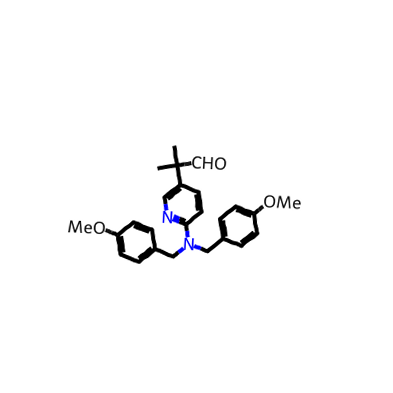 COc1ccc(CN(Cc2ccc(OC)cc2)c2ccc(C(C)(C)C=O)cn2)cc1